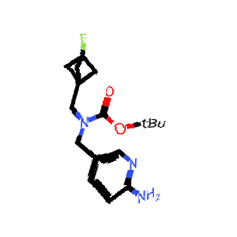 CC(C)(C)OC(=O)N(Cc1ccc(N)nc1)CC12CC(F)(C1)C2